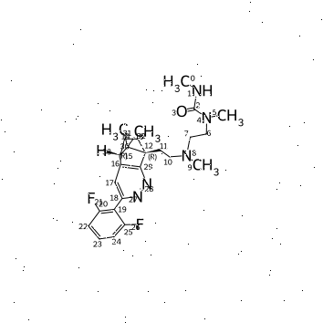 CNC(=O)N(C)CCN(C)CC[C@@]12CC[C@@H](c3cc(-c4c(F)cccc4F)nnc31)C2(C)C